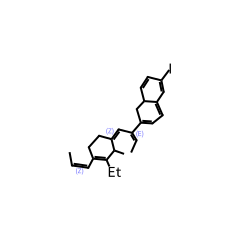 C/C=C\C1=C(CC)C(C)/C(=C\C(=C/C)C2=CC=C3C=C(I)C=CC3C2)CC1